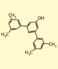 Cc1cc(C)cc(-c2cc(O)cc(-c3cc(C)cc(C)c3)c2)c1